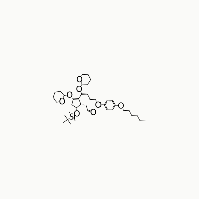 CCCCCCOc1ccc(OCC/C=C(/OC2CCCCO2)[C@H]2[C@H](CC=O)[C@H](O[Si](C)(C)C(C)(C)C)C[C@@H]2OC2CCCCO2)cc1